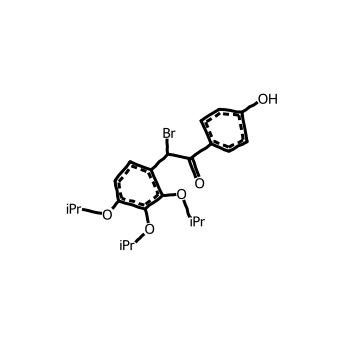 CC(C)Oc1ccc(C(Br)C(=O)c2ccc(O)cc2)c(OC(C)C)c1OC(C)C